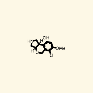 COc1ccc2c(c1Cl)CO[C@@H]1CNC[C@H]21.Cl